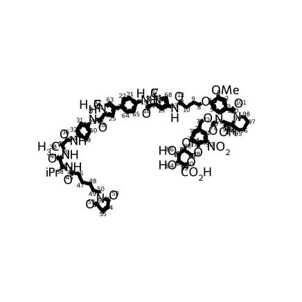 COc1cc2c(cc1OCCCC(=O)Nc1cc(C(=O)Nc3ccc(-c4cc(C(=O)Nc5ccc(NC(=O)[C@H](C)NC(=O)[C@@H](NC(=O)CCCCCN6C(=O)C=CC6=O)C(C)C)cc5)n(C)c4)cc3)n(C)c1)N(C(=O)OCc1ccc(O[C@@H]3O[C@H](C(=O)O)[C@@H](O)[C@H](O)[C@H]3O)c([N+](=O)[O-])c1)C(O)[C@@H]1CCCCN1C2=O